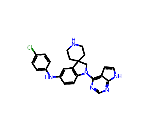 Clc1ccc(Nc2ccc3c(c2)C2(CCNCC2)CN3c2ncnc3[nH]ccc23)cc1